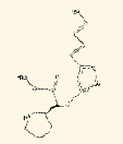 CC(C)(C)C=CC=Cc1cncc(OC(C(=O)OC(C)(C)C)[C@H]2CCCN2)c1